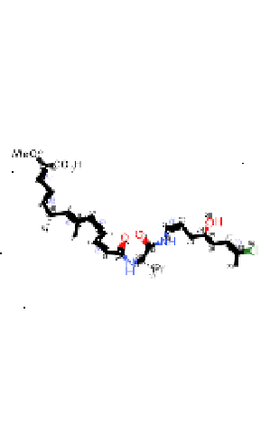 CO/C(=C/C=C/[C@@H](C)/C=C(C)/C=C\C=C/C(=O)N[C@H](C(=O)N/C=C\C[C@@H](O)C/C=C(\C)Cl)C(C)C)C(=O)O